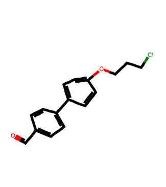 O=[C]c1ccc(-c2ccc(OCCCCl)cc2)cc1